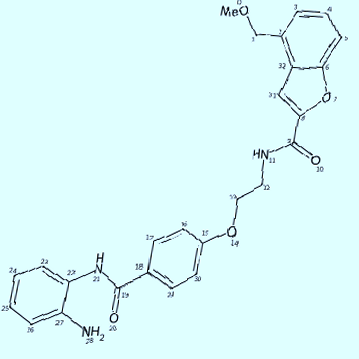 COCc1cccc2oc(C(=O)NCCOc3ccc(C(=O)Nc4ccccc4N)cc3)cc12